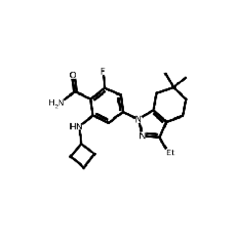 CCc1nn(-c2cc(F)c(C(N)=O)c(NC3CCC3)c2)c2c1CCC(C)(C)C2